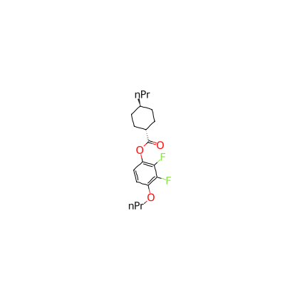 CCCOc1ccc(OC(=O)[C@H]2CC[C@H](CCC)CC2)c(F)c1F